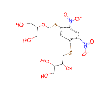 O=[N+]([O-])c1cc([N+](=O)[O-])c(SCC(O)C(O)CO)cc1SCOC(CO)CO